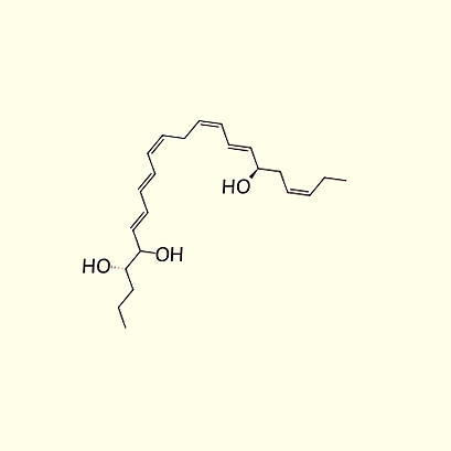 CC/C=C\C[C@@H](O)/C=C/C=C\C\C=C/C=C/C=C/C(O)[C@@H](O)CCC